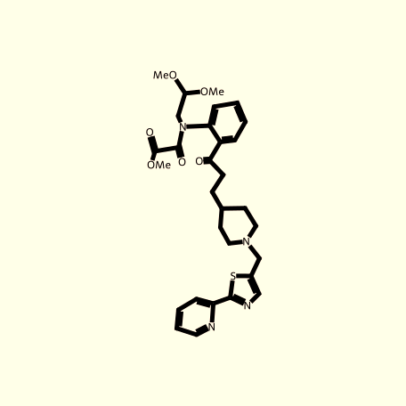 COC(=O)C(=O)N(CC(OC)OC)c1ccccc1C(=O)CCC1CCN(Cc2cnc(-c3ccccn3)s2)CC1